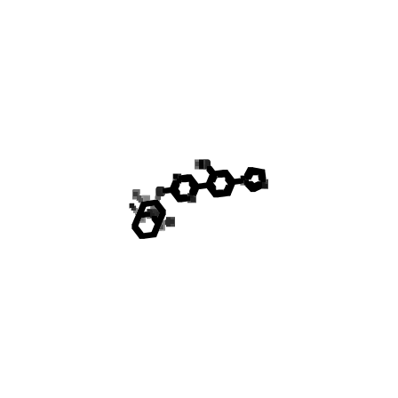 C[C@]12CCC[C@H](C[C@@H](Oc3cnc(-c4ccc(-n5ccnc5)cc4O)cn3)[C@H]1F)N2